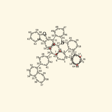 c1ccc(-c2ccccc2-c2c(-c3ccccc3)cccc2N(c2ccc(-c3ccc(-c4cccc5ccccc45)cc3)cc2)c2ccccc2-c2cccc3c2oc2ccccc23)cc1